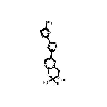 Cc1cnc(-c2noc(-c3cnc4c(c3)C[C@H](O)C(C)(C)O4)n2)s1